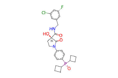 O=C(NCc1cc(F)cc(Cl)c1)[C@@]1(O)CCN(c2ccc(P(=O)(C3CCC3)C3CCC3)cc2)C1=O